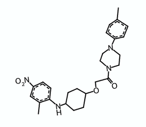 Cc1ccc(N2CCN(C(=O)COC3CCC(Nc4ccc([N+](=O)[O-])cc4C)CC3)CC2)cc1